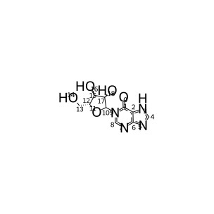 O=c1c2[nH]cnc2ncn1C1O[C@H](CO)[C@@H](O)[C@H]1O